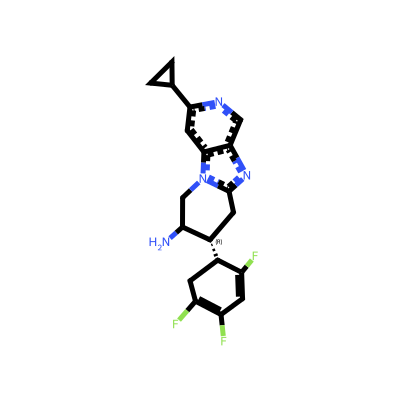 NC1Cn2c(nc3cnc(C4CC4)cc32)C[C@@H]1C1CC(F)=C(F)C=C1F